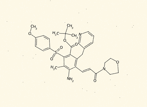 COc1ccc(S(=O)(=O)c2c(C)c(N)c(C=CC(=O)N3CCOCC3)c(Cc3cccnc3)c2C(=O)OC(C)(C)C)cc1